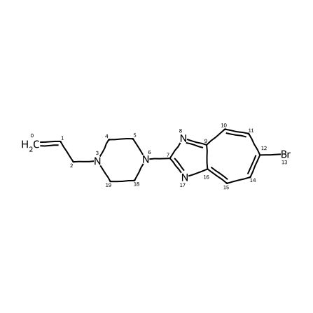 C=CCN1CCN(c2nc3ccc(Br)ccc-3n2)CC1